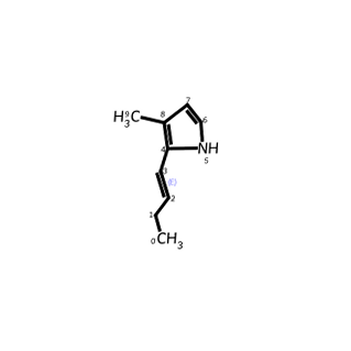 CC/C=C/c1[nH]ccc1C